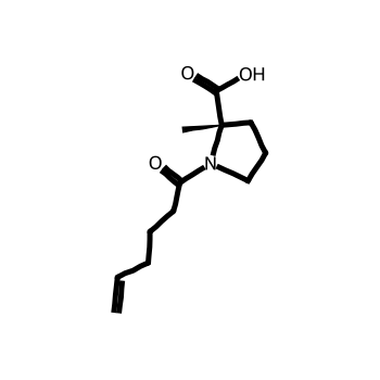 C=CCCCC(=O)N1CCC[C@@]1(C)C(=O)O